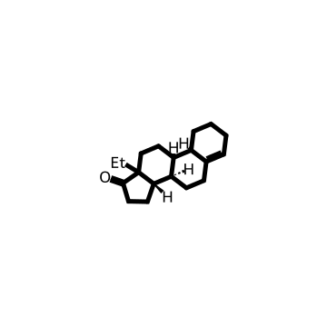 CCC12CC[C@H]3[C@@H](CCC4=CCCC[C@@H]43)[C@@H]1CCC2=O